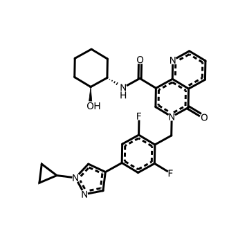 O=C(N[C@H]1CCCC[C@@H]1O)c1cn(Cc2c(F)cc(-c3cnn(C4CC4)c3)cc2F)c(=O)c2cccnc12